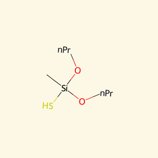 CCCO[Si](C)(S)OCCC